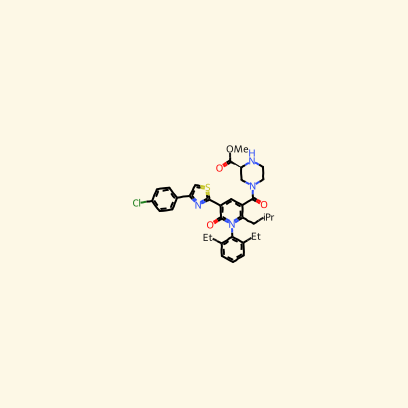 CCc1cccc(CC)c1-n1c(CC(C)C)c(C(=O)N2CCN[C@H](C(=O)OC)C2)cc(-c2nc(-c3ccc(Cl)cc3)cs2)c1=O